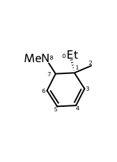 CC[C@]1(C)C=CC=CC1NC